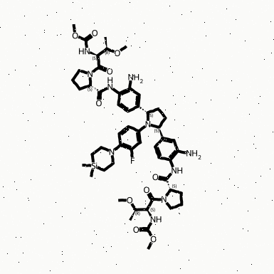 COC(=O)N[C@H](C(=O)N1CCC[C@H]1C(=O)Nc1ccc([C@@H]2CC[C@@H](c3ccc(NC(=O)[C@@H]4CCCN4C(=O)[C@@H](NC(=O)OC)[C@@H](C)OC)c(N)c3)N2c2ccc(N3CC[Si](C)(C)CC3)c(F)c2)cc1N)[C@@H](C)OC